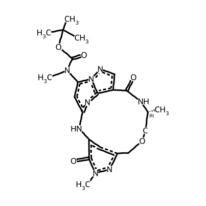 C[C@@H]1COCc2cc(c(=O)n(C)n2)Nc2cc(N(C)C(=O)OC(C)(C)C)n3ncc(c3n2)C(=O)N1